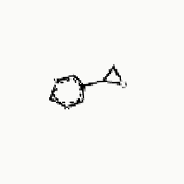 c1ncc(C2CO2)cn1